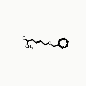 CC(C)CC=CCOCc1ccccc1